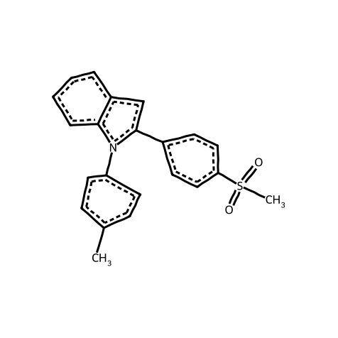 Cc1ccc(-n2c(-c3ccc(S(C)(=O)=O)cc3)cc3ccccc32)cc1